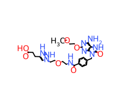 COCCOc1nc(N)c2[nH]c(=O)n(Cc3ccc(C(=O)NCCOCCN4C=C(CCC(=O)O)NN4)cc3)c2n1